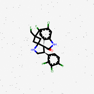 O=C1Nc2cc(Cl)ccc2[C@@]12[C@@H](c1ccc(F)c(Cl)c1F)CNC21CC(CF)(CF)C1